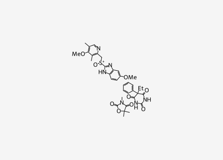 CCC1(c2ccccc2)C(=O)NC(=O)NC1=O.CN1C(=O)OC(C)(C)C1=O.COc1ccc2[nH]c([S+]([O-])Cc3ncc(C)c(OC)c3C)nc2c1